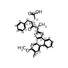 COc1ncc(-c2ccccc2-c2csc(N(C)C(=O)[C@@H](CC(=O)O)Cc3ccccc3)n2)cc1F